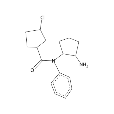 NC1CCCC1N(C(=O)C1CCC(Cl)C1)c1ccccc1